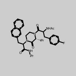 CC(=O)NC(Cc1ccc(F)cc1)C(=O)N1CCN(C(Cc2ccc3ccccc3c2)C(=O)NC(C)C)C(=O)[C@H]1C(C)C